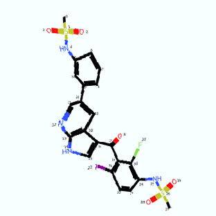 CS(=O)(=O)Nc1cccc(-c2cnc3[nH]cc(C(=O)c4c(I)ccc(NS(C)(=O)=O)c4F)c3c2)c1